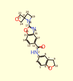 O=C(Nc1ccc2c(c1)CCO2)c1ccc2oc(N3CCC34COC4)nc2c1